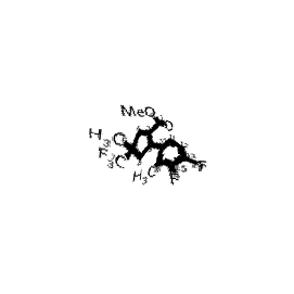 COC(=O)C1CC(C)(C(F)(F)F)CC1c1ccc(F)c(F)c1C